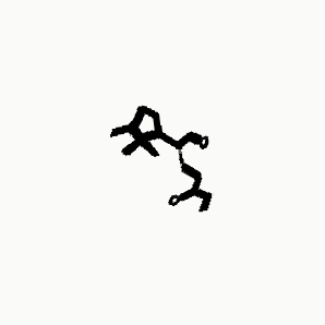 CCC(=O)CC[C@@H](C=O)C1CC=C(C)C1(C)C